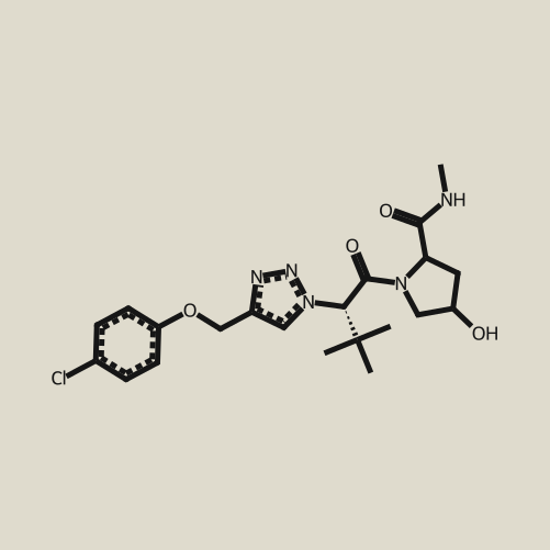 CNC(=O)C1CC(O)CN1C(=O)[C@@H](n1cc(COc2ccc(Cl)cc2)nn1)C(C)(C)C